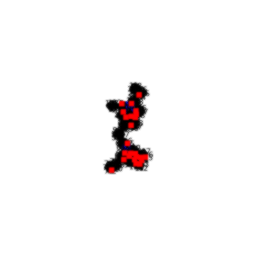 c1ccc(-c2ccc(N(c3ccc(-c4cccc5ccccc45)cc3-c3ccccc3)c3cccc4c3-c3ccccc3C4(c3ccccc3)c3ccc(-c4cccc(-c5ccc(N(c6ccc(-c7ccc8ccccc8c7)cc6-c6ccc7ccccc7c6)c6cccc7c6-c6ccccc6C7(c6ccccc6)c6ccccc6)cc5)c4)cc3)cc2)cc1